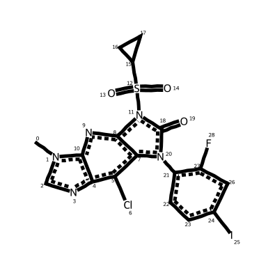 Cn1cnc2c(Cl)c3c(nc21)n(S(=O)(=O)C1CC1)c(=O)n3-c1ccc(I)cc1F